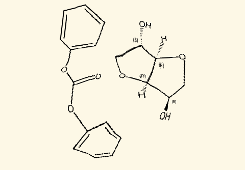 O=C(Oc1ccccc1)Oc1ccccc1.O[C@@H]1CO[C@H]2[C@@H]1OC[C@@H]2O